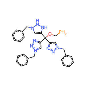 PCOC(C1=CN(Cc2ccccc2)NN1)(c1cn(Cc2ccccc2)nn1)c1cn(Cc2ccccc2)nn1